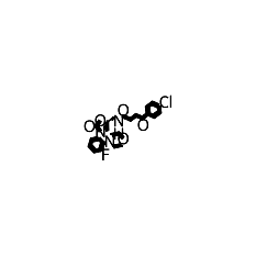 O=C(CCC(=O)c1ccc(Cl)cc1)NC[C@H]1CN(c2cccc(F)c2N2CCOCC2)C(=O)O1